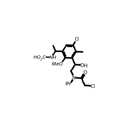 COc1c(C(C)NC(=O)O)cc(Cl)c(C)c1C(O)CN(C(=O)CCl)C(C)C